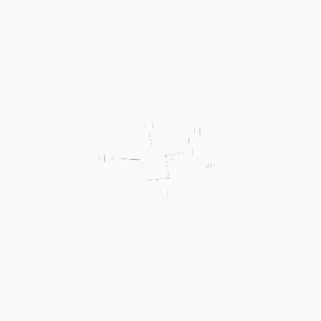 CC1=CC[C]([Hf+]([SiH3])[SiH3])=C1C.[Cl-]